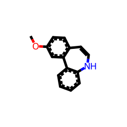 COc1ccc2c(c1)-c1ccccc1NC=C2